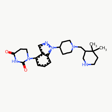 CC1(C)CCNCC1CN1CCC(n2ncc3c(N4CCC(=O)NC4=O)cccc32)CC1